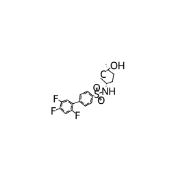 C[C@]1(O)CC[C@H](NS(=O)(=O)c2ccc(-c3cc(F)c(F)cc3F)cc2)CC1